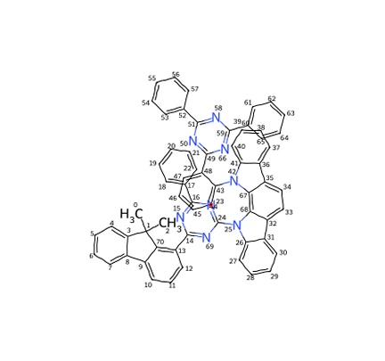 CC1(C)c2ccccc2-c2cccc(-c3nc(-c4ccccc4)nc(-n4c5ccccc5c5ccc6c7ccccc7n(-c7ccccc7-c7nc(-c8ccccc8)nc(-c8ccccc8)n7)c6c54)n3)c21